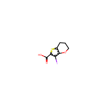 O=C(O)c1sc2c(c1I)OCCC2